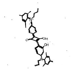 CCCC[N+](=C1C=CC(=C2C(=O)C(c3ccc(N(CCC)c4c(C)cc(C)cc4C)cc3O)=C2O)C=C1)c1c(C)cc(C)cc1C